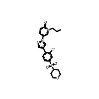 CCCn1cc(-n2cc(-c3ccc(S(=O)(=O)C4CCOCC4)cc3Cl)cn2)ccc1=O